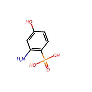 Nc1cc(O)ccc1P(=O)(O)O